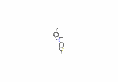 C=C1c2cc(CC)ccc2CN1c1ccc2sc(C)cc2c1